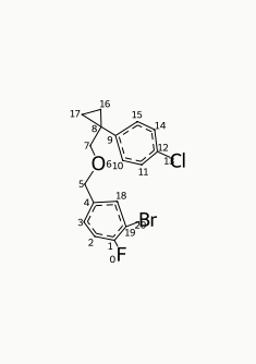 Fc1ccc(COCC2(c3ccc(Cl)cc3)CC2)cc1Br